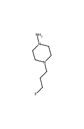 NN1CCN(CCCF)CC1